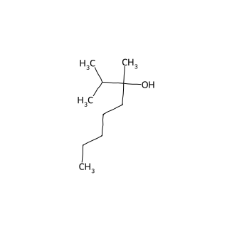 CCCCCC(C)(O)C(C)C